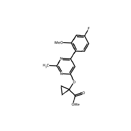 COC(=O)C1(Oc2cc(-c3ccc(F)cc3OC)nc(C)n2)CC1